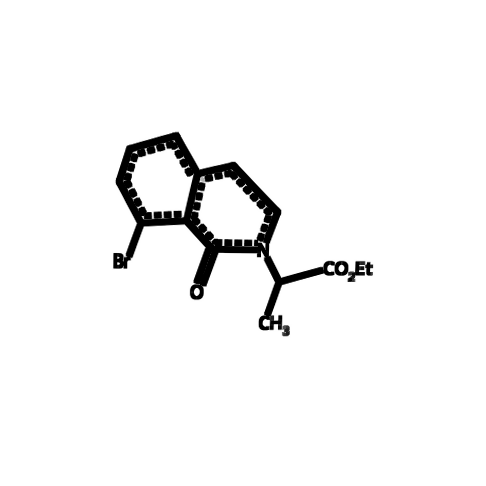 CCOC(=O)C(C)n1ccc2cccc(Br)c2c1=O